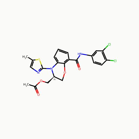 CC(=O)OC[C@@H]1COc2c(C(=O)Nc3ccc(Cl)c(Cl)c3)cccc2N1c1ncc(C)s1